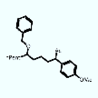 CCCCCC(CCCC(C(C)=O)c1ccc(OC)cc1)OCc1ccccc1